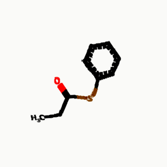 CCC(=O)Sc1[c]cccc1